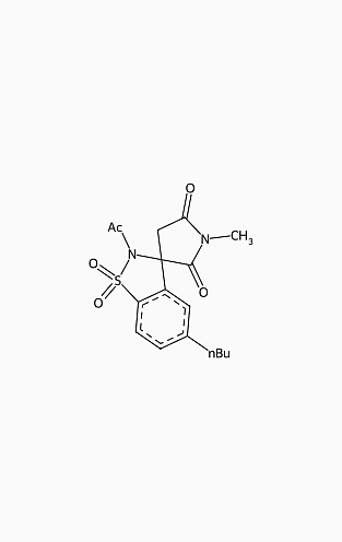 CCCCc1ccc2c(c1)C1(CC(=O)N(C)C1=O)N(C(C)=O)S2(=O)=O